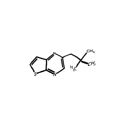 CC(C)(C)Cc1cnc2sccc2n1